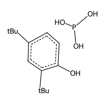 CC(C)(C)c1ccc(O)c(C(C)(C)C)c1.OP(O)O